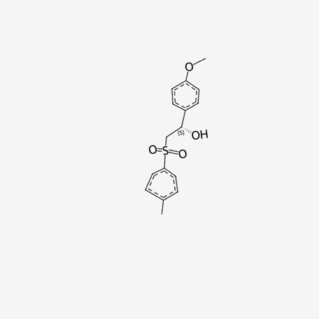 COc1ccc([C@H](O)CS(=O)(=O)c2ccc(C)cc2)cc1